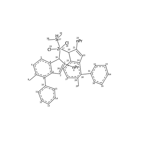 CCCC1=Cc2c(ccc(C)c2-c2ccccc2)[CH]1[Zr]([Cl])([Cl])([CH]1C(CCC)=Cc2c1ccc(C)c2-c1ccccc1)[SiH](C)C